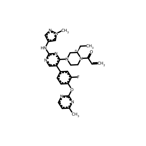 C=CC(=O)N1CCN(c2nc(Nc3cnn(C)c3)ncc2-c2ccc(Oc3nccc(C)n3)c(F)c2)C[C@H]1CC